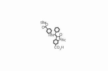 CC(=O)N1C(=O)/C(=C(/Nc2ccc(C(=O)OC(C)(C)C)cc2)c2ccccc2)c2ccc(C(=O)O)cc21